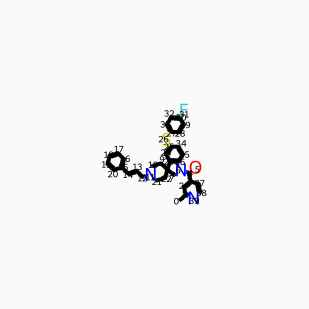 Cc1cc(C(=O)N2CC3(CCN(C/C=C/c4ccccc4)CC3)c3cc(Sc4ccc(F)cc4)ccc32)ccn1